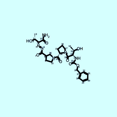 C[C@@H](O)[C@H](N=NC(=O)C1CCN(C(=O)[C@@H]2CCCN2C(=O)[C@@H](NC(=O)OCc2ccccc2)[C@@H](C)O)C1)C(N)=O